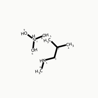 CNCC(C)C.O[SiH](O)O